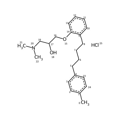 Cc1ccc(CCCCc2ccccc2OCC(O)CN(C)C)cc1.Cl